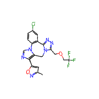 Cc1cc(-c2ncn3c2Cn2c(COCC(F)(F)F)nnc2-c2cc(Cl)ccc2-3)on1